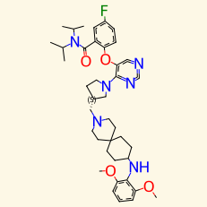 COc1cccc(OC)c1NC1CCC2(CC1)CCN(C[C@@H]1CCN(c3ncncc3Oc3ccc(F)cc3C(=O)N(C(C)C)C(C)C)C1)CC2